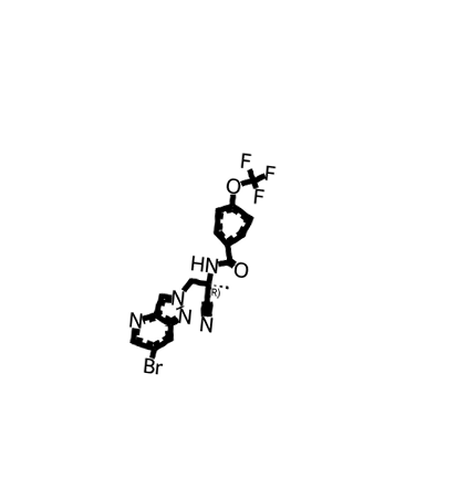 C[C@](C#N)(Cn1cc2ncc(Br)cc2n1)NC(=O)c1ccc(OC(F)(F)F)cc1